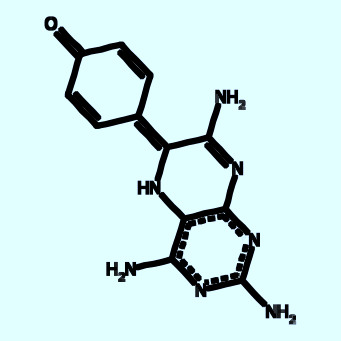 NC1=Nc2nc(N)nc(N)c2NC1=C1C=CC(=O)C=C1